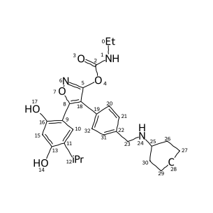 CCNC(=O)Oc1noc(-c2cc(C(C)C)c(O)cc2O)c1-c1ccc(CNC2CCCCC2)cc1